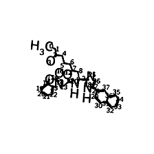 CCC(=O)CCCCC[C@H](NC(=O)Cn1c(=O)oc2ccccc21)c1ncc(-c2ccc3ccccc3c2)[nH]1